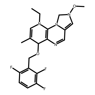 CCN1C=C(C)C(OCc2c(F)ccc(F)c2F)C2=C1N1CN(OC)C=C1C=N2